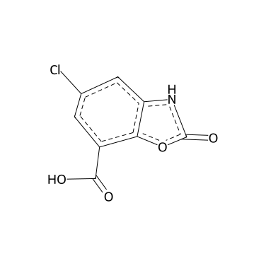 O=C(O)c1cc(Cl)cc2[nH]c(=O)oc12